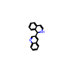 C1=Cc2ccccc2C(c2cnc3ccccc3c2)N1